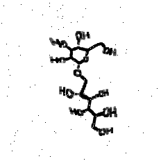 OCC1O[C@H](OC[C@@H](O)[C@@H](O)[C@H](O)[C@@H](O)CO)C(O)C(O)[C@@H]1O